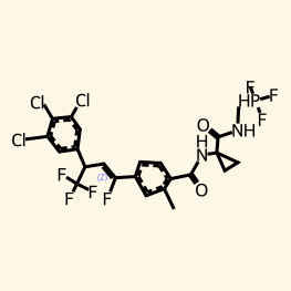 Cc1cc(/C(F)=C/C(c2cc(Cl)c(Cl)c(Cl)c2)C(F)(F)F)ccc1C(=O)NC1(C(=O)NC[PH](F)(F)F)CC1